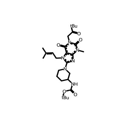 CC(C)=CCn1c(N2CCCC(NC(=O)OC(C)(C)C)C2)nc2c1c(=O)n(CC(=O)C(C)(C)C)c(=O)n2C